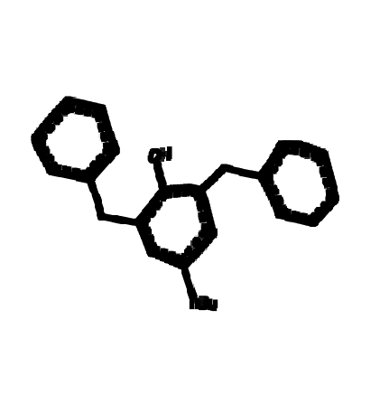 CCCCc1cc(Cc2ccccc2)c(O)c(Cc2ccccc2)c1